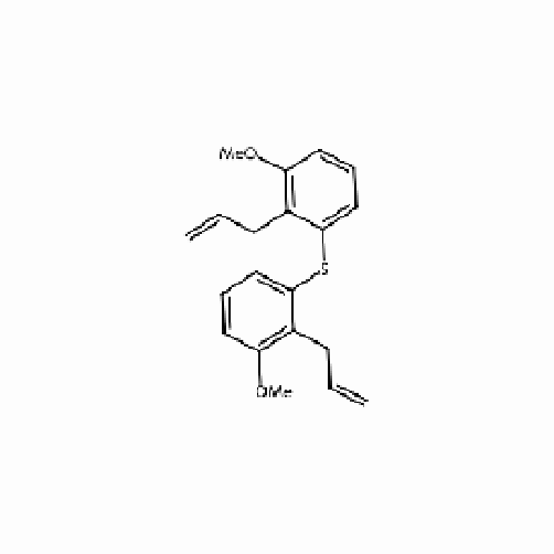 C=CCc1c(OC)cccc1Sc1cccc(OC)c1CC=C